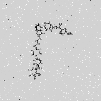 CC(C)(C)c1nc(C(=O)NCc2ccc(-c3ncnn4cc(CCCCN5CCC(c6ccc(NC7CCC(=O)NC7=O)cn6)CC5)cc34)cc2F)no1